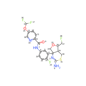 NC1=NC2(c3cc(NC(=O)c4ccc(OC(F)F)cn4)ccc3F)COC(CF)C2CS1